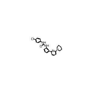 O=C(Nc1ccc(Cl)cc1)Nc1cccc(-c2cccc(N3CCCCC3)n2)c1